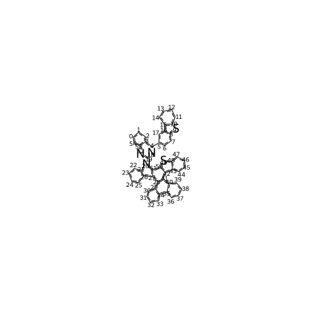 c1ccc2c(-c3ccc4sc5ccccc5c4c3)nc(-n3c4ccccc4c4c5c6ccccc6c6ccccc6c5c5c6ccccc6sc5c43)nc2c1